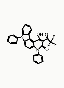 O=C(c1c(O)c2c3c4ccccc4n(-c4ccccc4)c3ccc2n(-c2ccccc2)c1=O)C(F)(F)F